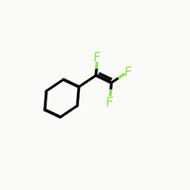 FC(F)=C(F)C1CCCCC1